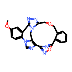 COc1ccc2c(c1)-c1nnc3n1Cc1c(ncn1-2)-c1noc(n1)-c1ccccc1COC3